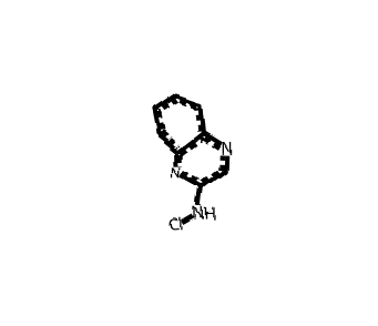 ClNc1cnc2ccccc2n1